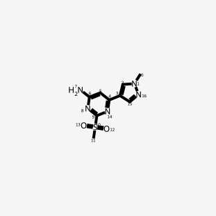 Cn1cc(-c2cc(N)nc(S(C)(=O)=O)n2)cn1